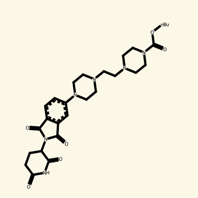 CCCCOC(=O)N1CCN(CCN2CCN(c3ccc4c(c3)C(=O)N(C3CCC(=O)NC3=O)C4=O)CC2)CC1